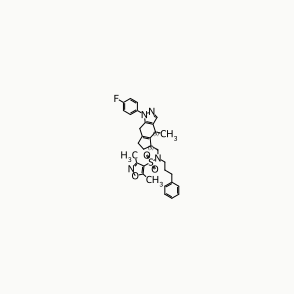 Cc1noc(C)c1S(=O)(=O)N(CCCc1ccccc1)C[C@H]1CCC2=C1[C@H](C)c1cnn(-c3ccc(F)cc3)c1C2